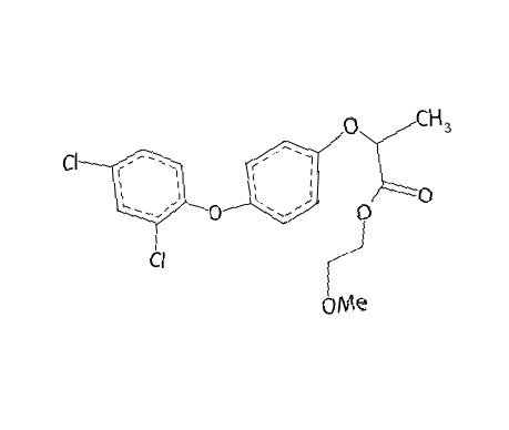 COCCOC(=O)C(C)Oc1ccc(Oc2ccc(Cl)cc2Cl)cc1